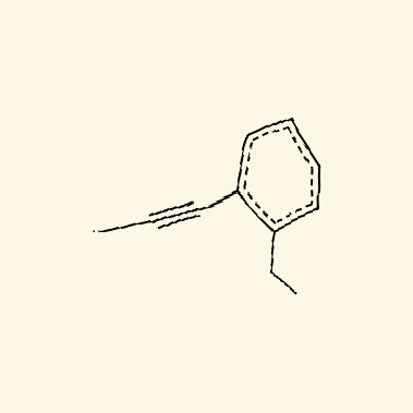 [CH2]C#Cc1ccccc1CC